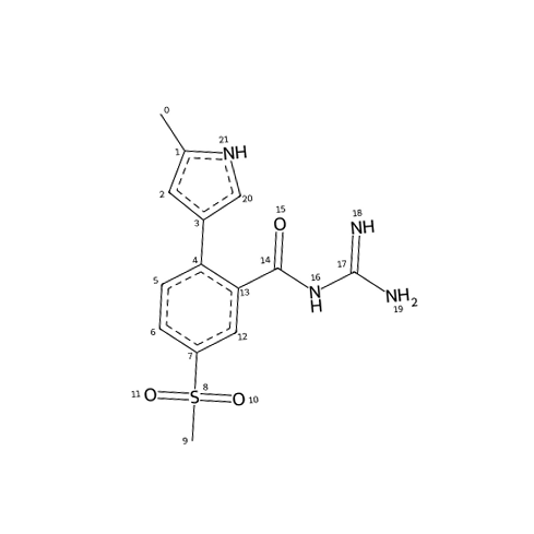 Cc1cc(-c2ccc(S(C)(=O)=O)cc2C(=O)NC(=N)N)c[nH]1